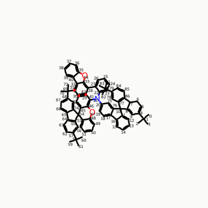 CC(C)(C)C1=CCC2C(=C1)C1(c3ccccc3-c3ccc(N(c4ccccc4-c4cccc5c4oc4ccccc45)c4cccc5c4Oc4ccccc4C54c5cc(C(C)(C)C)ccc5-c5ccc(C(C)(C)C)cc54)cc31)c1cc(C(C)(C)C)ccc12